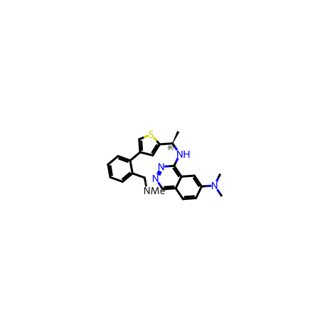 CNCc1ccccc1-c1csc([C@@H](C)Nc2nncc3ccc(N(C)C)cc23)c1